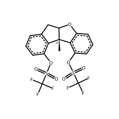 C[C@@]12c3c(cccc3OS(=O)(=O)C(F)(F)F)CC1Oc1cccc(OS(=O)(=O)C(F)(F)F)c12